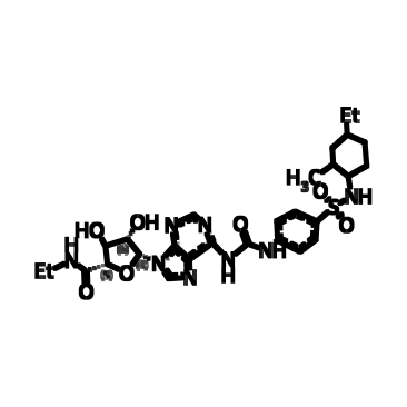 CCNC(=O)[C@H]1O[C@@H](n2cnc3c(NC(=O)Nc4ccc(S(=O)(=O)NC5CCC(CC)CC5C)cc4)ncnc32)[C@@H](O)C1O